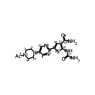 CC(=O)N1CCN(c2cnc(-c3cc(C(N)=O)c(NC(N)=O)s3)nc2)CC1